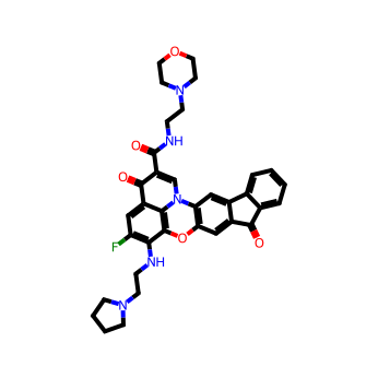 O=C(NCCN1CCOCC1)c1cn2c3cc4c(cc3oc3c(NCCN5CCCC5)c(F)cc(c1=O)c32)c(=O)c1ccccc14